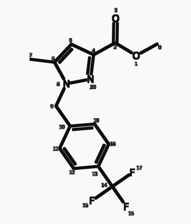 COC(=O)c1cc(C)n(Cc2ccc(C(F)(F)F)cc2)n1